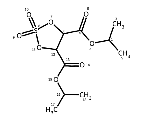 CC(C)OC(=O)C1OS(=O)(=O)OC1C(=O)OC(C)C